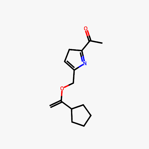 C=C(OCC1=CCC(C(C)=O)=N1)C1CCCC1